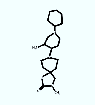 CN1CC2(CCN(C3CCN(C4CCCCC4)CC3N)CC2)OC1=O